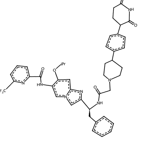 CC(C)Oc1cc2nc([C@H](Cc3ccccc3)NC(=O)CN3CCC(c4ccc(C5CCC(=O)NC5=O)cc4)CC3)cn2cc1NC(=O)c1cccc(C(F)(F)F)n1